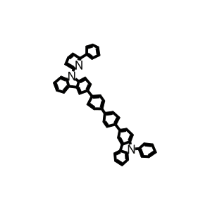 c1ccc(-c2cccc(-n3c4ccccc4c4cc(-c5ccc(-c6ccc(-c7ccc8c(c7)c7ccccc7n8-c7ccccc7)cc6)cc5)ccc43)n2)cc1